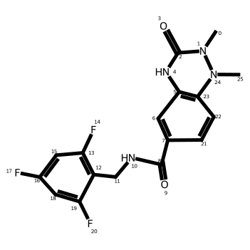 CN1C(=O)Nc2cc(C(=O)NCc3c(F)cc(F)cc3F)ccc2N1C